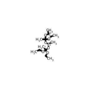 CCOC(C)(OCC)OP(C)OC(C)(OCC)OCC